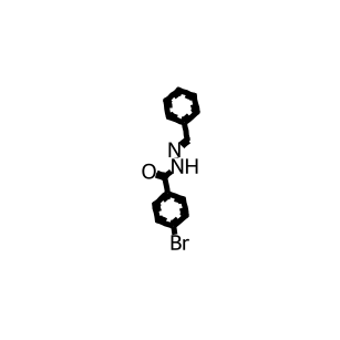 O=C(NN=Cc1ccccc1)c1ccc(Br)cc1